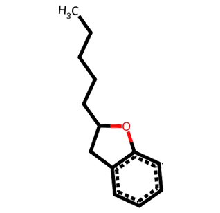 CCCCCC1Cc2ccc[c]c2O1